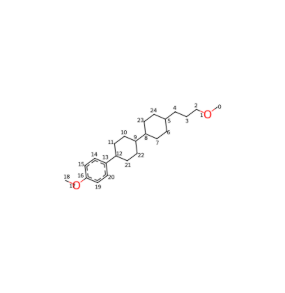 COCCCC1CCC(C2CCC(c3ccc(OC)cc3)CC2)CC1